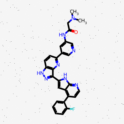 CN(C)CC(=O)Nc1cncc(-c2ccc3[nH]nc(-c4cc5c(-c6ccccc6F)ccnc5[nH]4)c3n2)c1